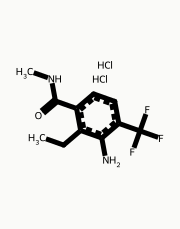 CCc1c(C(=O)NC)ccc(C(F)(F)F)c1N.Cl.Cl